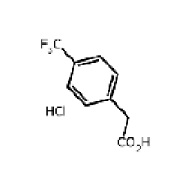 Cl.O=C(O)Cc1ccc(C(F)(F)F)cc1